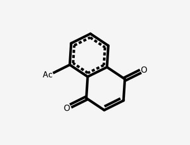 CC(=O)c1cccc2c1C(=O)C=CC2=O